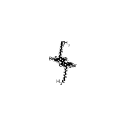 CCCCCCCCCCC1=CN2C(=O)C3=C4c5sc6cc(Br)sc6c5C(CCCCCCCCCC)=CN4C(=O)C3=C2c2sc3cc(Br)sc3c21